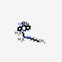 C=C(CCC(=C)N1Cc2ccccc2/C(C)=C(/NC)c2ccccc21)NCCCCCCCC